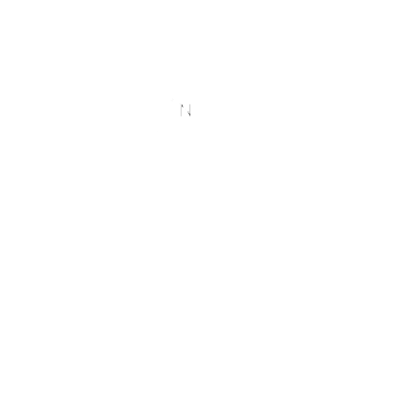 CCCCCCCCCCCCCc1ccc[n+](CCCCCCCCCCCC)c1